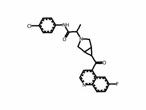 CC(C(=O)Nc1ccc(Cl)cc1)N1CC2C(C1)C2C(=O)c1ccnc2ccc(F)cc12